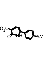 CSc1ccc(-c2ccc(C(=O)O)c(=O)[nH]2)cc1